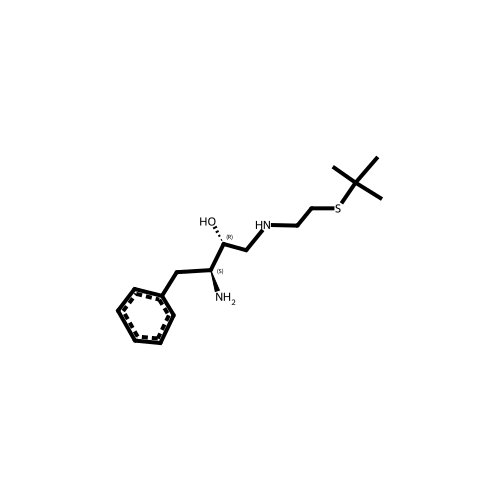 CC(C)(C)SCCNC[C@@H](O)[C@@H](N)Cc1ccccc1